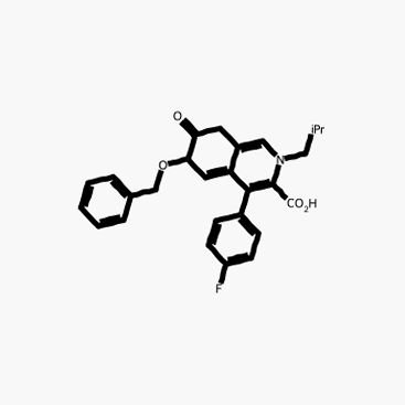 CC(C)CN1C=C2CC(=O)C(OCc3ccccc3)C=C2C(c2ccc(F)cc2)=C1C(=O)O